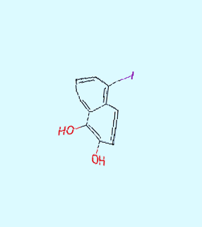 Oc1ccc2c(I)cccc2c1O